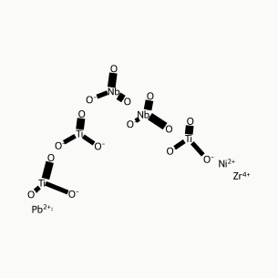 [Ni+2].[O]=[Nb](=[O])[O-].[O]=[Nb](=[O])[O-].[O]=[Ti]([O-])[O-].[O]=[Ti]([O-])[O-].[O]=[Ti]([O-])[O-].[Pb+2].[Zr+4]